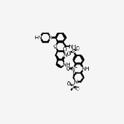 CS(=O)(=O)N1CCC(Nc2ccc(S(=O)(=O)NC(=O)c3cccc(N4CCNCC4)c3Oc3cnc4[nH]ccc4c3)cc2[N+](=O)[O-])CC1